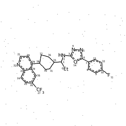 CCC(Nc1nnc(-c2ccc(F)cc2)o1)C1CCC(c2ccnc3ccc(C(F)(F)F)cc23)CC1